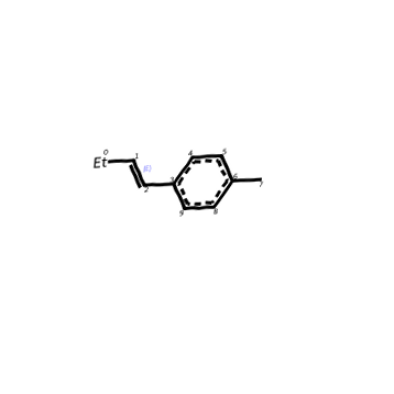 CC/C=C/c1ccc(C)cc1